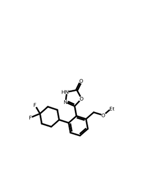 CCOCc1cccc(C2CCC(F)(F)CC2)c1-c1n[nH]c(=O)o1